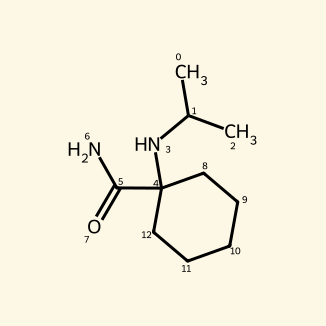 CC(C)NC1(C(N)=O)CCCCC1